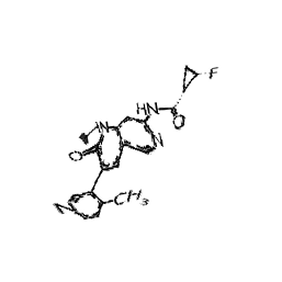 Cc1ccncc1-c1cc2cnc(NC(=O)[C@@H]3C[C@@H]3F)cc2[nH]c1=O